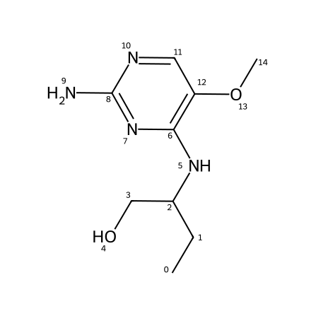 CCC(CO)Nc1nc(N)ncc1OC